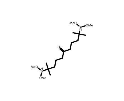 CO[SiH](OC)C(C)(C)CCCC(=O)CCCC(C)(C)[SiH](OC)OC